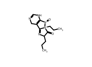 CCCC1N=C2C3=C(NC=NC3)[N+](=O)[N+]2(CCC)C1=O